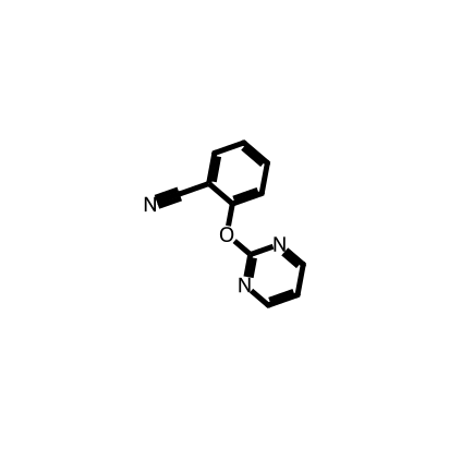 N#Cc1ccccc1Oc1ncccn1